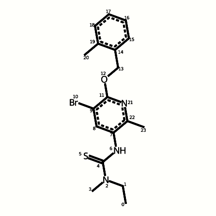 CCN(C)C(=S)Nc1cc(Br)c(OCc2ccccc2C)nc1C